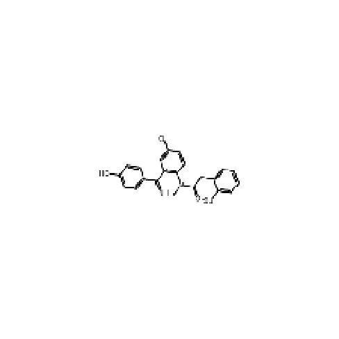 CN(C(=O)Cc1ccccc1C(C)(C)C)c1ccc(Cl)cc1C(=N)c1ccc(O)cc1